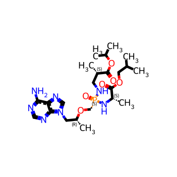 CC(C)COC(=O)[C@H](C)N[P@](=O)(CO[C@H](C)Cn1cnc2c(N)ncnc21)NC[C@H](C)C(=O)OC(C)C